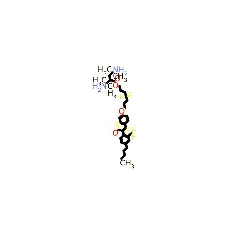 CCCCCc1ccc(-c2cc3ccc(OCCCC(F)(F)CCCOC(=O)C(CC(C)(C)N)C(C)(C)N)cc3sc2=O)c(C(F)(F)F)c1